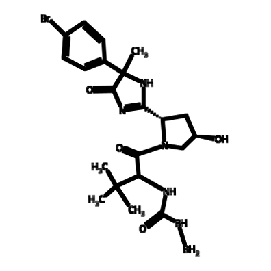 BBC(=O)NC(C(=O)N1C[C@H](O)C[C@H]1C1=NC(=O)C(C)(c2ccc(Br)cc2)N1)C(C)(C)C